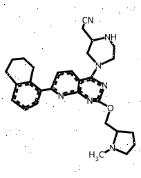 CN1CCCC1COc1nc(N2CCNC(CC#N)C2)c2ccc(-c3cccc4c3CCCC4)nc2n1